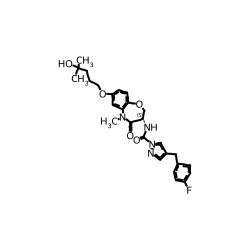 CN1C(=O)[C@@H](NC(=O)n2cc(Cc3ccc(F)cc3)cn2)COc2ccc(OCCCC(C)(C)O)cc21